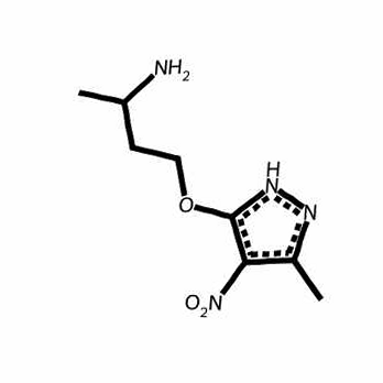 Cc1n[nH]c(OCCC(C)N)c1[N+](=O)[O-]